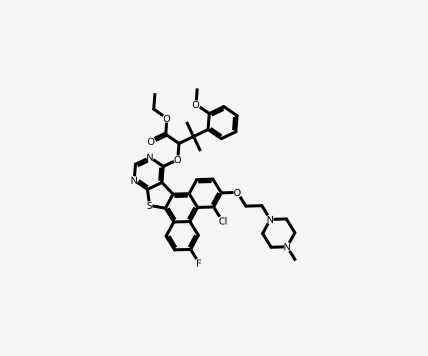 CCOC(=O)C(Oc1ncnc2sc3c4ccc(F)cc4c4c(Cl)c(OCCN5CCN(C)CC5)ccc4c3c12)C(C)(C)c1ccccc1OC